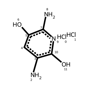 Cl.Cl.Nc1cc(O)c(N)nc1O